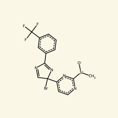 C[S+]([O-])c1nccc(C2(Br)C=NC(c3cccc(C(F)(F)F)c3)=N2)n1